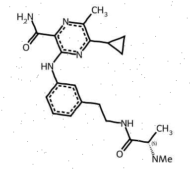 CN[C@@H](C)C(=O)NCCc1cccc(Nc2nc(C3CC3)c(C)nc2C(N)=O)c1